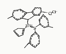 Cc1cccc([Si](c2cccc(C)c2)=[Zr+2]([C]2=CC=CC2)[CH]2c3cc(C)ccc3-c3ccc(C)cc32)c1.[Cl-].[Cl-]